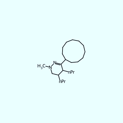 CCCC1CN(C)N=C(C2CCCCCCCCCC2)C1CCC